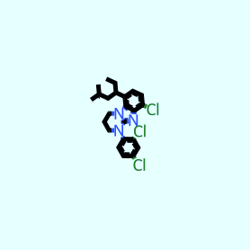 CCC(C[C](C)C)c1ccc(Cl)c2nc3n(c12)CCCN3c1ccc(Cl)cc1Cl